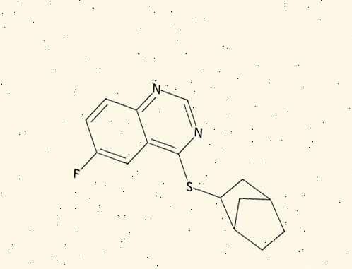 Fc1ccc2ncnc(SC3CC4CCC3C4)c2c1